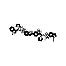 C[C@@H]1CCCN1[C@H](CNS(=O)(=O)c1ccc2cc(-c3ccc4c([C@@H](CNS(=O)(=O)c5ccc6cc[nH]c6c5)N5CCCC5)nn(C)c4c3)[nH]c2c1)c1cn(C)c2ccccc12